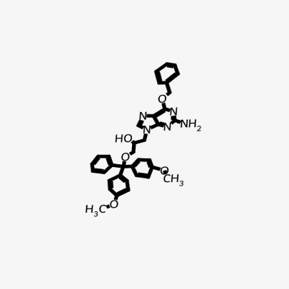 COc1ccc(C(OCC(O)Cn2cnc3c(OCc4ccccc4)nc(N)nc32)(c2ccccc2)c2ccc(OC)cc2)cc1